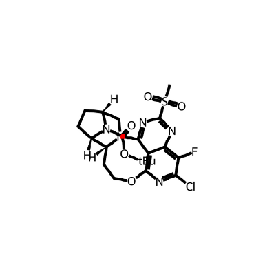 CC(C)(C)OC(=O)N1[C@@H]2CC[C@H]1[C@H]1CCOc3nc(Cl)c(F)c4nc(S(C)(=O)=O)nc(c34)N1C2